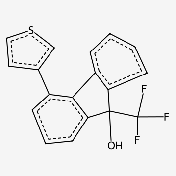 OC1(C(F)(F)F)c2ccccc2-c2c(-c3ccsc3)cccc21